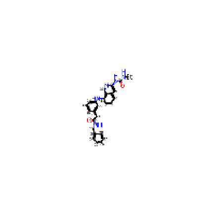 CCNC(=O)Nc1cc2cccc(Nc3cccc(CC(=O)NCc4ccccc4)c3)c2cn1